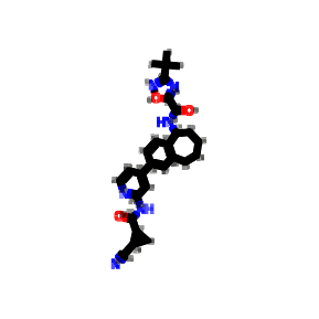 CC(C)(C)c1noc(C(=O)NC2CCCCc3cc(-c4ccnc(NC(=O)C5CC5C#N)c4)ccc32)n1